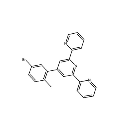 Cc1ccc(Br)cc1-c1cc(-c2ccccn2)nc(-c2ccccn2)c1